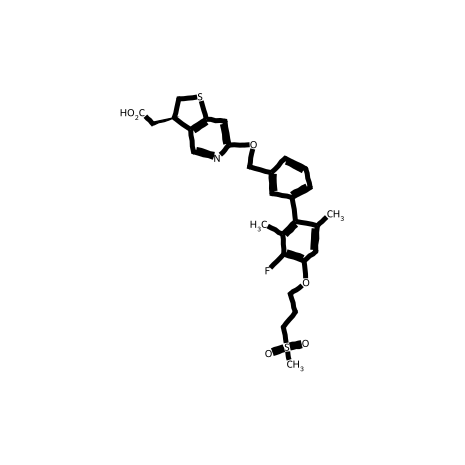 Cc1cc(OCCCS(C)(=O)=O)c(F)c(C)c1-c1cccc(COc2cc3c(cn2)[C@@H](CC(=O)O)CS3)c1